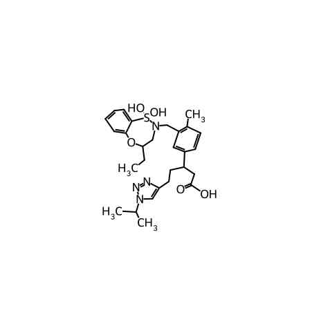 CCC1CN(Cc2cc(C(CCc3cn(C(C)C)nn3)CC(=O)O)ccc2C)S(O)(O)c2ccccc2O1